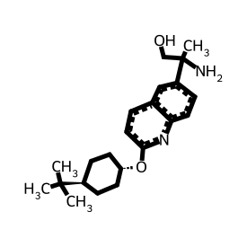 CC(N)(CO)c1ccc2nc(O[C@H]3CC[C@H](C(C)(C)C)CC3)ccc2c1